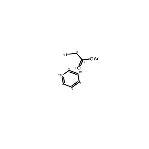 CC(=O)OC(=O)CF.c1ccncc1